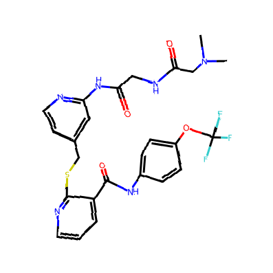 CN(C)CC(=O)NCC(=O)Nc1cc(CSc2ncccc2C(=O)Nc2ccc(OC(F)(F)F)cc2)ccn1